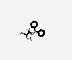 CCCC(N)C(=O)OB(c1ccccc1)c1ccccc1